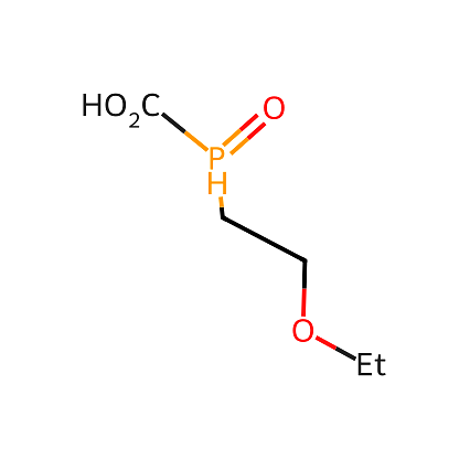 CCOCC[PH](=O)C(=O)O